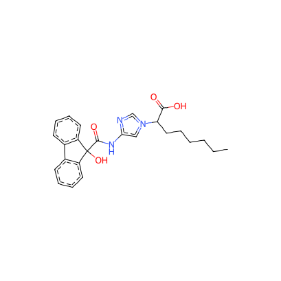 CCCCCCC(C(=O)O)n1cnc(NC(=O)C2(O)c3ccccc3-c3ccccc32)c1